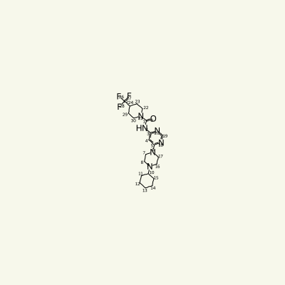 O=C(Nc1cc(N2CCN(C3CCCCC3)CC2)ncn1)N1CCC(C(F)(F)F)CC1